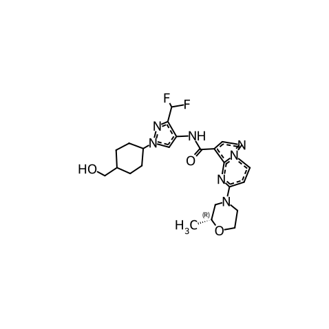 C[C@@H]1CN(c2ccn3ncc(C(=O)Nc4cn(C5CCC(CO)CC5)nc4C(F)F)c3n2)CCO1